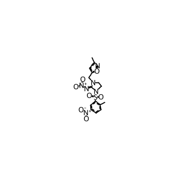 Cc1cc(CN2CCN(S(=O)(=O)c3cc([N+](=O)[O-])ccc3C)C2=N[N+](=O)[O-])on1